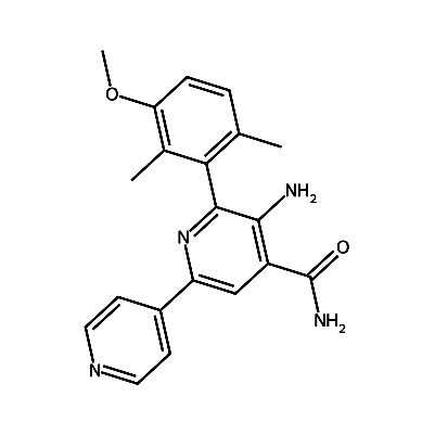 COc1ccc(C)c(-c2nc(-c3ccncc3)cc(C(N)=O)c2N)c1C